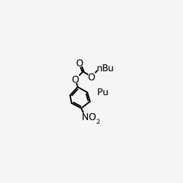 CCCCOC(=O)Oc1ccc([N+](=O)[O-])cc1.[Pu]